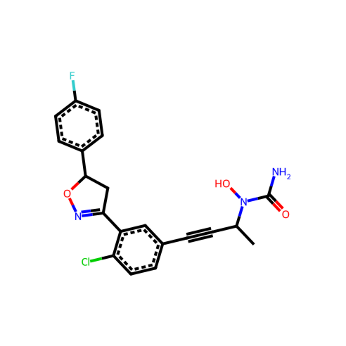 CC(C#Cc1ccc(Cl)c(C2=NOC(c3ccc(F)cc3)C2)c1)N(O)C(N)=O